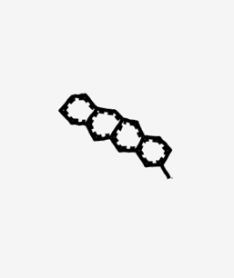 [CH2]c1ccc2cc3cc4ccccc4cc3cc2c1